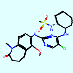 COc1c(Nc2ncc(Cl)c(N[C@@H]3CCCC[C@H]3NS(C)(=O)=O)n2)ccc2c1CCCC(=O)N2C